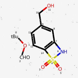 CC(C)(C)OC=O.O=S1(=O)Nc2cc(CO)ccc21